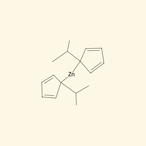 CC(C)[C]1([Zn][C]2(C(C)C)C=CC=C2)C=CC=C1